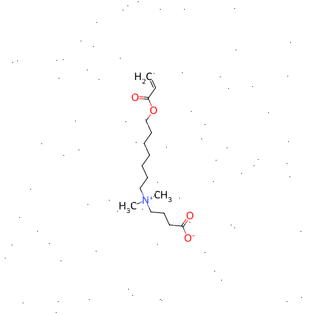 C=CC(=O)OCCCCCCC[N+](C)(C)CCCC(=O)[O-]